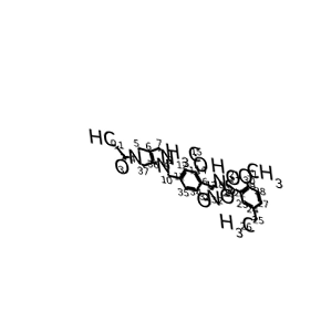 C#CC(=O)N1Cc2cnn(Cc3cc(OC)c4c(NS(=O)(=O)c5cc(CC)ccc5OC)noc4c3)c2C1